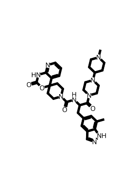 Cc1cc(CC(NC(=O)N2CCC3(CC2)OC(=O)Nc2ncccc23)C(=O)N2CCN(C3CCN(C)CC3)CC2)cc2cn[nH]c12